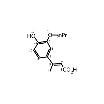 CCCOc1cc(C(C)=CC(=O)O)ccc1O